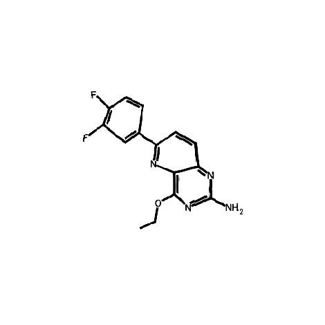 CCOc1nc(N)nc2ccc(-c3ccc(F)c(F)c3)nc12